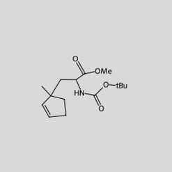 COC(=O)C(CC1(C)C=CCC1)NC(=O)OC(C)(C)C